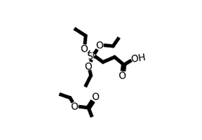 CCOC(C)=O.CCO[Si](CCC(=O)O)(OCC)OCC